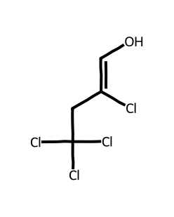 OC=C(Cl)CC(Cl)(Cl)Cl